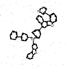 c1ccc(-c2ccc(N(c3ccc(-c4cc5oc6cccc(-c7cccnc7)c6c5c5ccccc45)cc3)c3ccc4sc5ccccc5c4c3)cc2)cc1